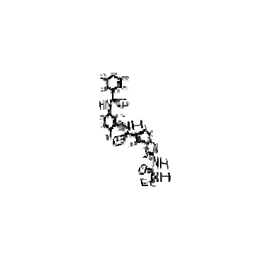 CCNC(=O)Nc1nc2ccc(C(=O)Nc3cc(NC(=O)c4cccc(C)c4)ccc3C)cc2s1